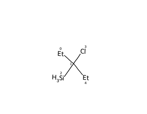 CCC([SiH3])(Cl)CC